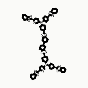 c1ccc2sc(-c3ccc(N(c4ccc(-c5nc6cc(-c7ccc8nc(-c9ccc(N(c%10ccc(-c%11nc%12ccccc%12s%11)cc%10)c%10ccc(-c%11nc%12ccccc%12s%11)nc%10)cc9)sc8c7)ccc6o5)cc4)c4ccc(-c5nc6ccccc6s5)nc4)cc3)nc2c1